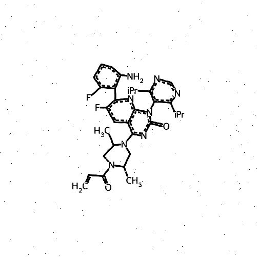 C=CC(=O)N1CC(C)N(c2nc(=O)n(-c3c(C(C)C)ncnc3C(C)C)c3nc(-c4c(N)cccc4F)c(F)cc23)CC1C